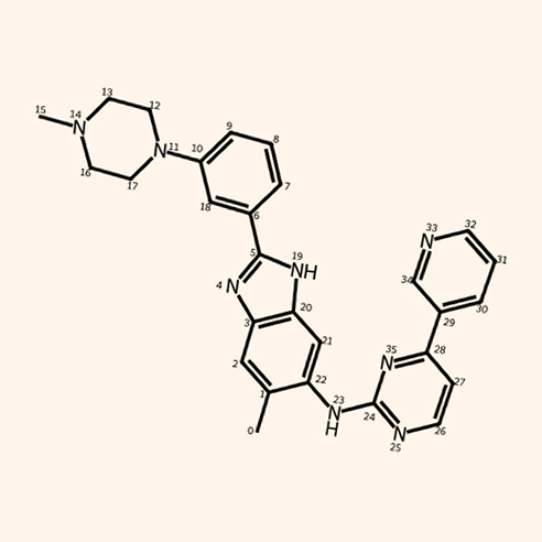 Cc1cc2nc(-c3cccc(N4CCN(C)CC4)c3)[nH]c2cc1Nc1nccc(-c2cccnc2)n1